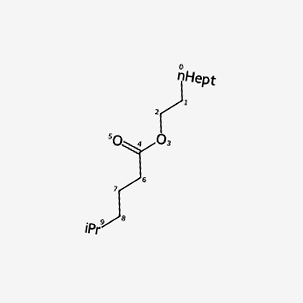 CCCCCCCCCOC(=O)CCCC(C)C